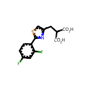 O=C(O)C(Cc1csc(-c2ccc(F)cc2F)n1)C(=O)O